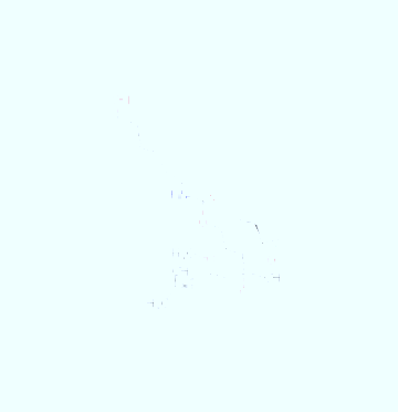 COC1C(OC(=O)NCCCCCCO)CC[C@]2(CO2)C1C1(C)OC1CC=C(C)C